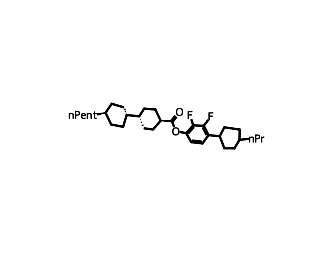 CCCCC[C@H]1CC[C@H]([C@H]2CC[C@H](C(=O)Oc3ccc(C4CCC(CCC)CC4)c(F)c3F)CC2)CC1